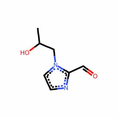 CC(O)Cn1ccnc1C=O